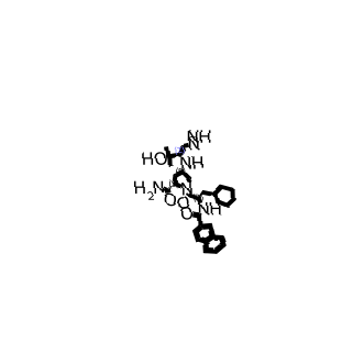 CC(C)(O)/C(=C/N=N)N[C@H]1C[C@@H](C(N)=O)N(C(=O)[C@@H](CC2CCCCC2)NC(=O)c2ccc3ccccc3c2)C1